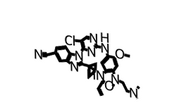 C=CC(=O)Nc1cc(Nc2ncc(Cl)c(-n3c(C45CC4C5)nc4cc(C#N)ccc43)n2)c(OC)cc1N(C)CCN(C)C